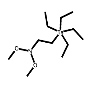 C[CH2][Ta]([CH2]C)([CH2]C)([CH2]C)[CH2]CN(OC)OC